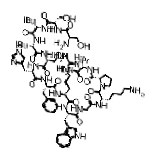 CC[C@H](C)[C@H](NC(=O)[C@H](CO)NC(=O)[C@@H](N)CO)C(=O)N[C@H](C(=O)N[C@@H](CO)C(=O)N[C@@H](Cc1c[nH]cn1)C(=O)N[C@@H](Cc1ccccc1)C(=O)N[C@@H](CCCNC(=N)N)C(=O)N[C@@H](Cc1c[nH]c2ccccc12)C(=O)NCC(=O)N[C@@H](CCCCN)C(=O)N1CCC[C@H]1C(=O)N[C@H](C(N)=O)C(C)C)[C@@H](C)CC